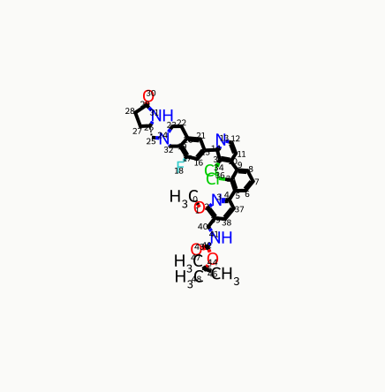 COc1nc(-c2cccc(-c3ccnc(-c4cc(F)c5c(c4)CCN(C[C@@H]4CCC(=O)N4)C5)c3Cl)c2Cl)ccc1CNC(=O)OC(C)(C)C